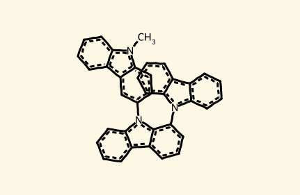 Cn1c2ccccc2c2cc(-n3c4ccccc4c4cccc(-n5c6ccccc6c6ccccc65)c43)ccc21